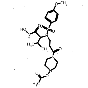 COc1ccc(S(=O)(=O)N(CCC(=O)N2CCN(OC(C)=O)CC2)C(C(=O)NO)C(C)C)cc1